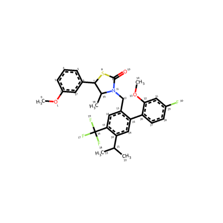 COc1cccc(C2SC(=O)N(Cc3cc(C(F)(F)F)c(C(C)C)cc3-c3ccc(F)cc3OC)C2C)c1